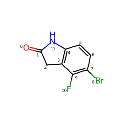 O=C1Cc2c(ccc(Br)c2F)N1